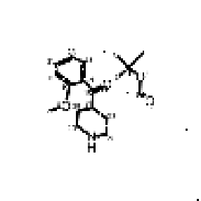 CC(C)(C)OC=O.COc1ccccc1C(=O)C1CCNCC1